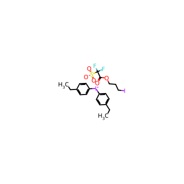 CCc1ccc([I+]c2ccc(CC)cc2)cc1.O=C(OCCCI)C(F)(F)S(=O)(=O)[O-]